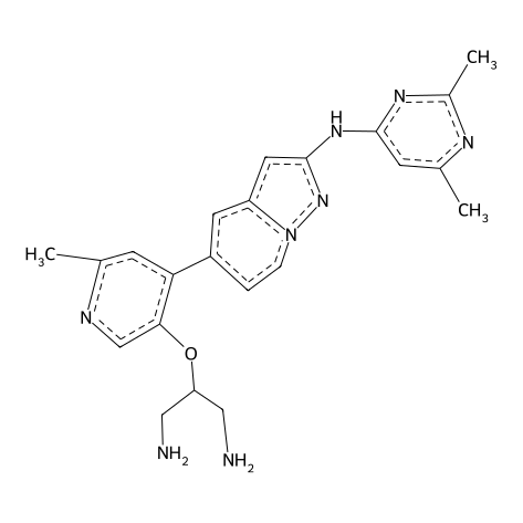 Cc1cc(-c2ccn3nc(Nc4cc(C)nc(C)n4)cc3c2)c(OC(CN)CN)cn1